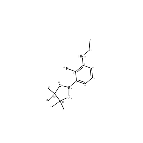 CCNc1cccc(B2OC(C)(C)C(C)(C)O2)c1F